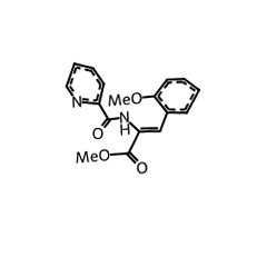 COC(=O)C(=Cc1ccccc1OC)NC(=O)c1ccccn1